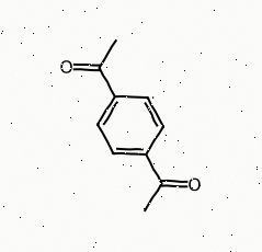 CC(=O)c1[c]cc(C(C)=O)cc1